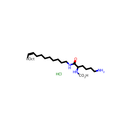 CCCCCCCC/C=C\CCCCCCCCNC(=O)C(CCCCN)NC(=O)O.Cl